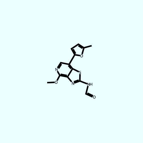 COc1ncc(-c2ccc(C)o2)c2sc(NC=O)nc12